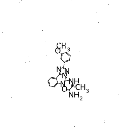 COc1cccc(-c2nc3c4ccccc4nc(N[C@H](C)C(N)=O)n3n2)c1